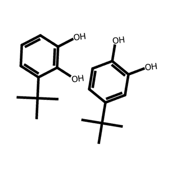 CC(C)(C)c1ccc(O)c(O)c1.CC(C)(C)c1cccc(O)c1O